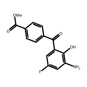 COC(=O)c1ccc(C(=O)c2cc(F)cc(N)c2O)cc1